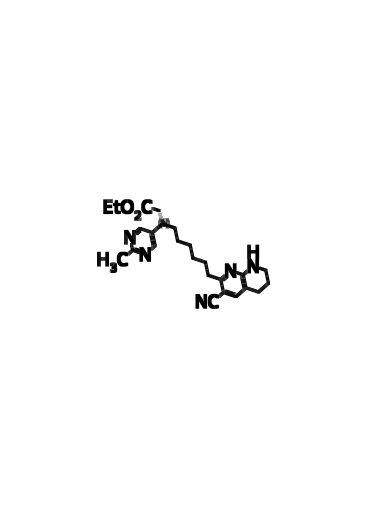 CCOC(=O)C[C@H](CCCCCCc1nc2c(cc1C#N)CCCN2)c1cnc(C)nc1